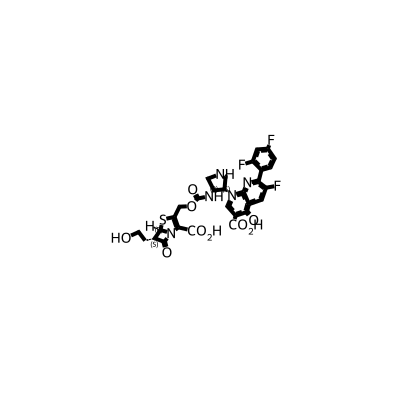 O=C(N[C@@H]1CNC[C@@H]1n1cc(C(=O)O)c(=O)c2cc(F)c(-c3ccc(F)cc3F)nc21)OCC1=C(C(=O)O)N2C(=O)[C@H](CCO)[C@H]2S1